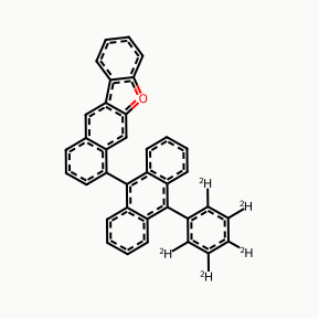 [2H]c1c([2H])c([2H])c(-c2c3ccccc3c(-c3cccc4cc5c(cc34)oc3ccccc35)c3ccccc23)c([2H])c1[2H]